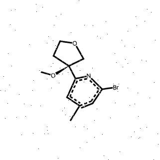 CO[C@@]1(c2cc(C)cc(Br)n2)CCOC1